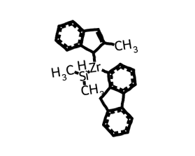 CC1=Cc2ccccc2[CH]1[Zr]([c]1cccc2c1Cc1ccccc1-2)[SiH](C)C